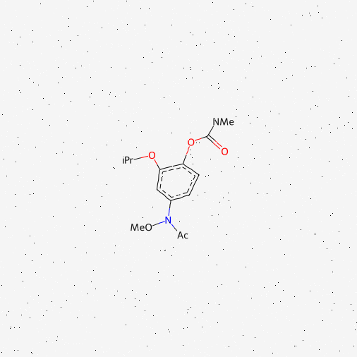 CNC(=O)Oc1ccc(N(OC)C(C)=O)cc1OC(C)C